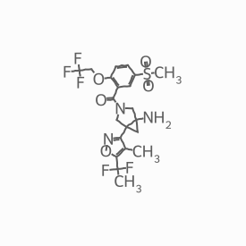 Cc1c(C23CN(C(=O)c4cc(S(C)(=O)=O)ccc4OCC(F)(F)F)CC2(N)C3)noc1C(C)(F)F